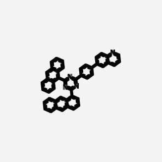 c1ccc2cc3c(-c4nc(-c5ccc(-c6ccc7ncccc7c6)cc5)nc(-c5c6ccccc6cc6ccccc56)n4)cccc3cc2c1